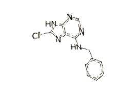 Clc1nc2c(NCc3ccccc3)ncnc2[nH]1